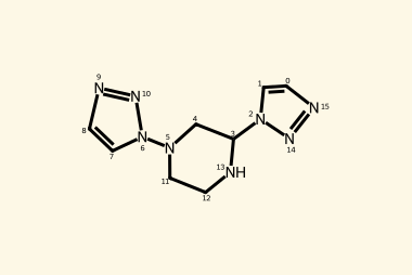 c1cn(C2CN(n3ccnn3)CCN2)nn1